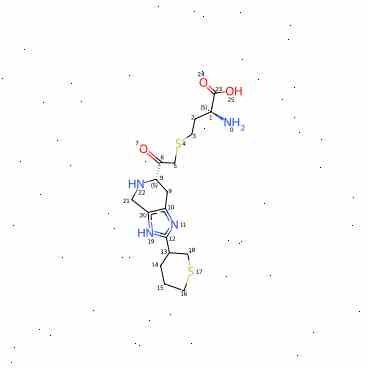 N[C@@H](CCSCC(=O)[C@@H]1Cc2nc(C3CCCSC3)[nH]c2CN1)C(=O)O